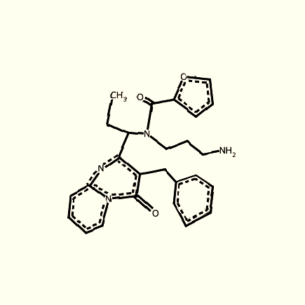 CCC(c1nc2ccccn2c(=O)c1Cc1ccccc1)N(CCCN)C(=O)c1ccco1